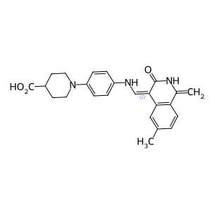 C=c1[nH]c(=O)/c(=C\Nc2ccc(N3CCC(C(=O)O)CC3)cc2)c2cc(C)ccc12